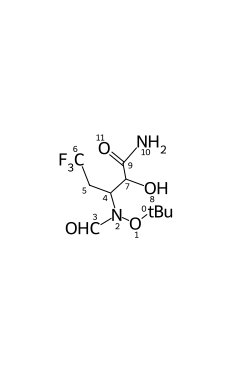 CC(C)(C)ON(C=O)C(CC(F)(F)F)C(O)C(N)=O